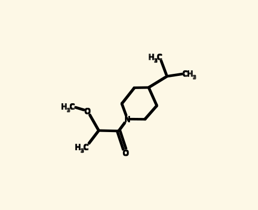 COC(C)C(=O)N1CCC(C(C)C)CC1